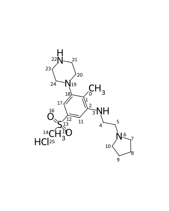 Cc1c(NCCN2CCCC2)cc(S(C)(=O)=O)cc1N1CCNCC1.Cl